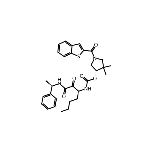 CCCC[C@H](NC(=O)O[C@@H]1CN(C(=O)c2cc3ccccc3s2)CC1(C)C)C(=O)C(=O)N[C@H](C)c1ccccc1